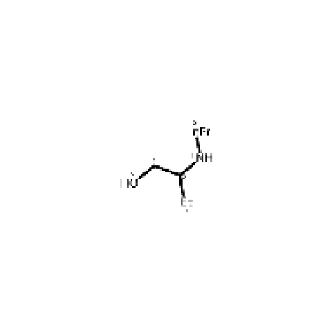 CCCNC(CC)CO